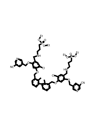 CCOP(=O)(CCCNCc1cc(Cl)c(OCc2cccc(-c3cccc(COc4cc(OCc5cncc(C#N)c5)c(CNCCCP(=O)(OCC)OCC)cc4Cl)c3C)c2C)cc1OCc1cncc(C#N)c1)OCC